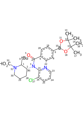 CC(C)(C)C1[C@H](N(C(=O)c2ccc(B3OC(C)(C)C(C)(C)O3)cc2)c2ncccc2Cl)CCCN1C(=O)O